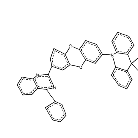 CC1(C)c2ccccc2N(c2ccc3c(c2)Oc2cc(-c4nc(-c5ccccc5)c5ccccc5n4)ccc2O3)c2ccccc21